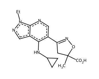 CCn1ncc2c(NC3CC3)c(C3=NOC(C)(C(=O)O)C3)cnc21